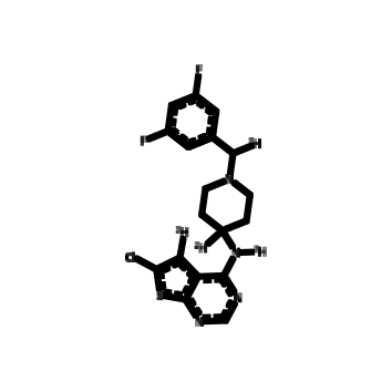 [2H]c1c(Cl)sc2ncnc(N([2H])C3([2H])CCN(C([2H])c4cc(F)cc(F)c4)CC3)c12